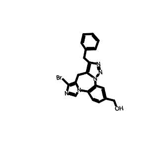 OCc1ccc2c(c1)-n1nnc(Cc3ccccc3)c1Cc1c(Br)ncn1-2